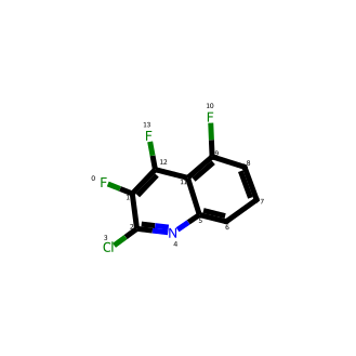 Fc1c(Cl)nc2cccc(F)c2c1F